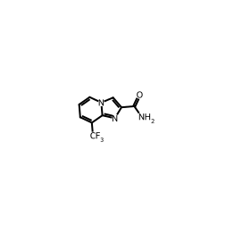 NC(=O)c1cn2cccc(C(F)(F)F)c2n1